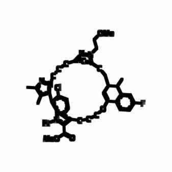 CCn1c(C(=O)OC)c2c3ccc(Cl)c(c31)-c1c(C)c(C)nn1CCCc1cc(n(CCOC)n1)CCC1C=C(OCCC2)c2ccc(F)cc2C1C